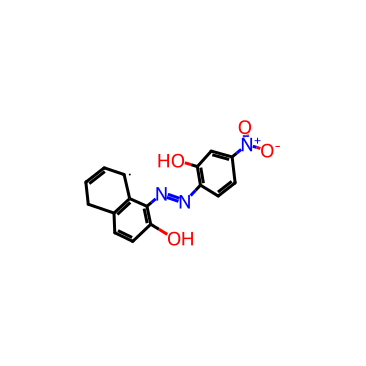 O=[N+]([O-])c1ccc(N=Nc2c(O)ccc3c2[CH]C=CC3)c(O)c1